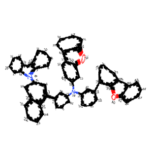 c1cc(-c2cc(-n3c4ccccc4c4ccccc43)cc3ccccc23)cc(N(c2cccc(-c3cccc4c3oc3ccccc34)c2)c2ccc3c(c2)oc2ccccc23)c1